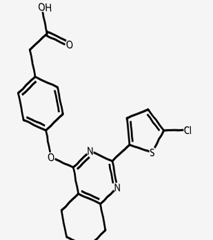 O=C(O)Cc1ccc(Oc2nc(-c3ccc(Cl)s3)nc3c2CCCC3)cc1